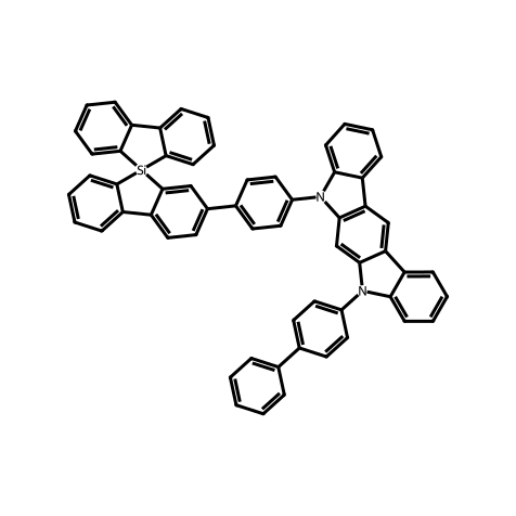 c1ccc(-c2ccc(-n3c4ccccc4c4cc5c6ccccc6n(-c6ccc(-c7ccc8c(c7)[Si]7(c9ccccc9-c9ccccc97)c7ccccc7-8)cc6)c5cc43)cc2)cc1